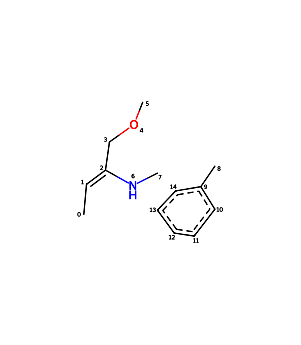 CC=C(COC)NC.Cc1ccccc1